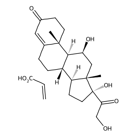 C=CC(=O)O.C[C@]12CCC(=O)C=C1CC[C@@H]1[C@@H]2[C@@H](O)C[C@@]2(C)[C@H]1CC[C@]2(O)C(=O)CO